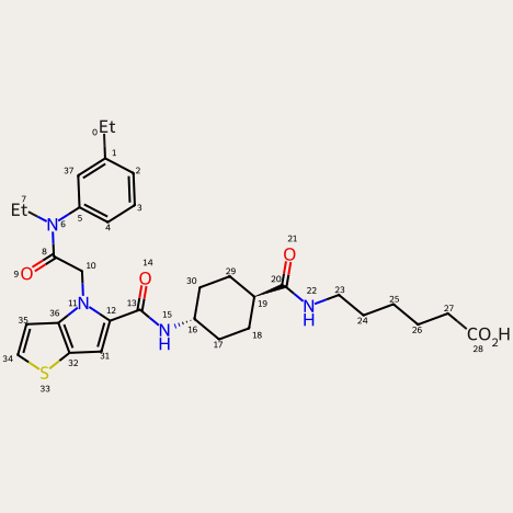 CCc1cccc(N(CC)C(=O)Cn2c(C(=O)N[C@H]3CC[C@H](C(=O)NCCCCCC(=O)O)CC3)cc3sccc32)c1